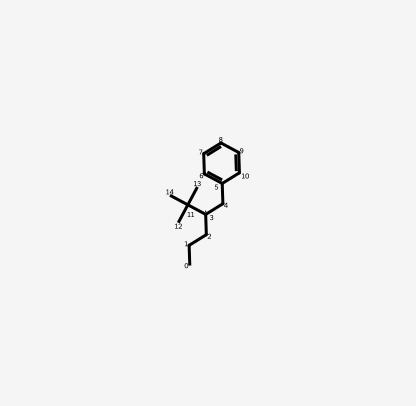 CCC[C](Cc1ccccc1)C(C)(C)C